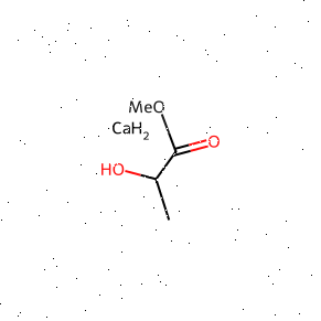 COC(=O)C(C)O.[CaH2]